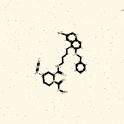 CC(C)(C)OC(=O)N1CC[C@H](N=[N+]=[N-])C[C@H]1C(=O)NCCCCc1c(OCc2ccccc2)ccc2ncc(Br)cc12